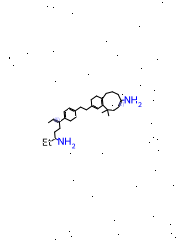 C/C=C(\CCC(N)CC)C1=CC=C(CCC2=CC3=C(CCC/C(N)=C\CC3(C)C)CC2)CC1